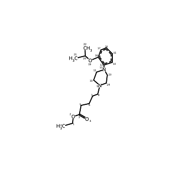 CCOC(=O)CCCCN1CCN(c2ccccc2OC(C)C)CC1